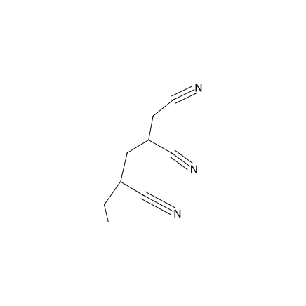 CCC(C#N)CC(C#N)CC#N